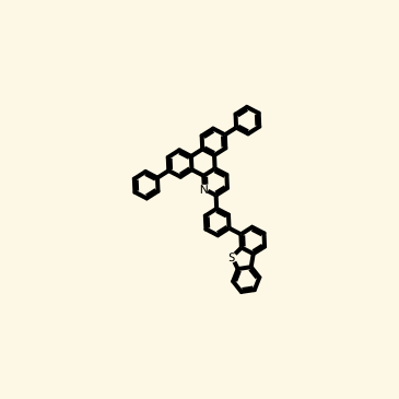 c1ccc(-c2ccc3c(c2)c2ccc(-c4cccc(-c5cccc6c5sc5ccccc56)c4)nc2c2cc(-c4ccccc4)ccc32)cc1